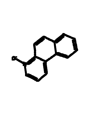 [O-][n+]1cccc2c3ccccc3ccc21